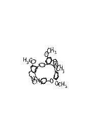 COc1cc2c3c(c1)Oc1cc4c(cc1OC)CCN(C)C4Cc1ccc(cc1)Oc1cc(ccc1OC)C[C@@H]3N(C)CC2